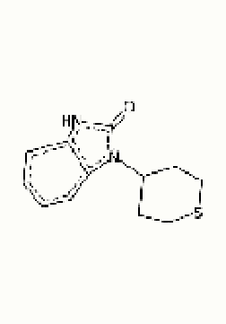 O=c1[nH]c2ccccc2n1C1CCSCC1